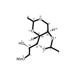 COC[C@H](O)[C@H]1OC(C)O[C@@H]2COC(C)O[C@@H]12